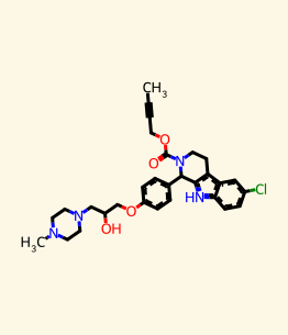 CC#CCOC(=O)N1CCc2c([nH]c3ccc(Cl)cc23)C1c1ccc(OCC(O)CN2CCN(C)CC2)cc1